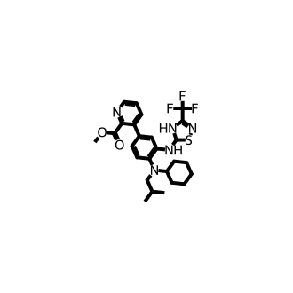 COC(=O)c1ncccc1-c1ccc(N(CC(C)C)C2CCCCC2)c(NC2NC(C(F)(F)F)=NS2)c1